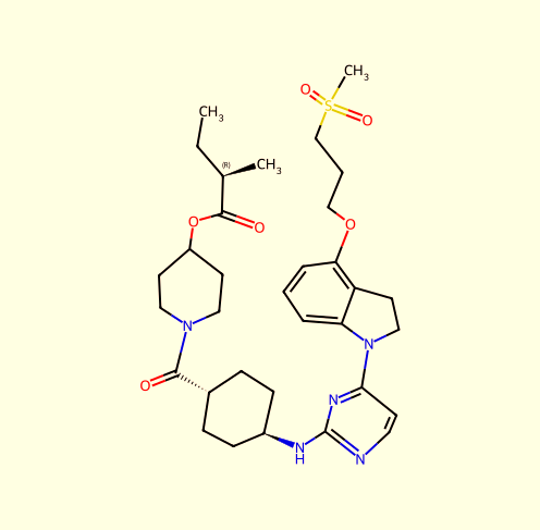 CC[C@@H](C)C(=O)OC1CCN(C(=O)[C@H]2CC[C@H](Nc3nccc(N4CCc5c(OCCCS(C)(=O)=O)cccc54)n3)CC2)CC1